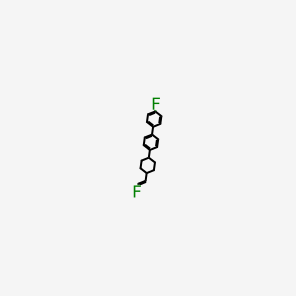 FC=CC1CCC(c2ccc(-c3ccc(F)cc3)cc2)CC1